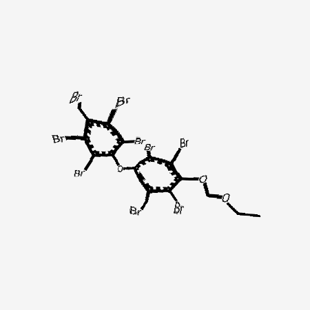 CCOCOc1c(Br)c(Br)c(Oc2c(Br)c(Br)c(Br)c(Br)c2Br)c(Br)c1Br